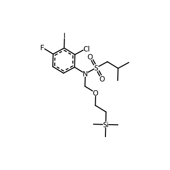 CC(C)CS(=O)(=O)N(COCC[Si](C)(C)C)c1ccc(F)c(I)c1Cl